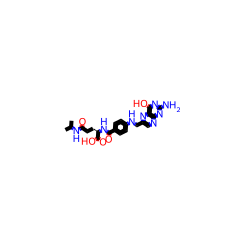 CC(C)NC(=O)CC[C@H](NC(=O)c1ccc(NCc2cnc3nc(N)nc(O)c3n2)cc1)C(=O)O